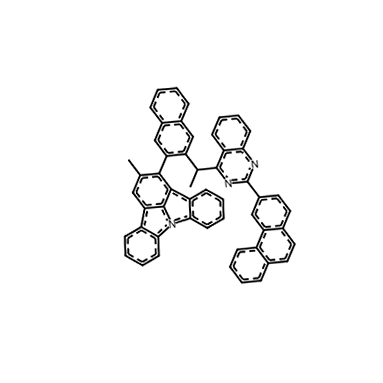 Cc1cc2c3ccccc3n3c4ccccc4c(c1-c1cc4ccccc4cc1C(C)c1nc(-c4ccc5ccc6ccccc6c5c4)nc4ccccc14)c23